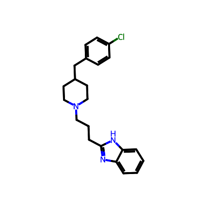 Clc1ccc(CC2CCN(CCCc3nc4ccccc4[nH]3)CC2)cc1